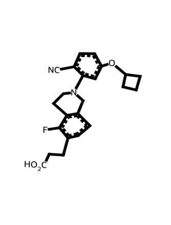 N#Cc1ccc(OC2CCC2)cc1N1CCc2c(ccc(CCC(=O)O)c2F)C1